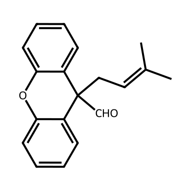 CC(C)=CCC1(C=O)c2ccccc2Oc2ccccc21